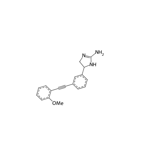 COc1ccccc1C#Cc1cccc(C2CN=C(N)N2)c1